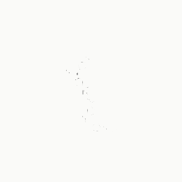 CCC(Cc1ccc(C(=O)NCNC(=O)c2ccc(CC(CC)(C(=O)c3ccc(N4CCOCC4)cc3)N(C)C)cc2)cc1)(C(=O)c1ccc(N2CCOCC2)cc1)N(C)C